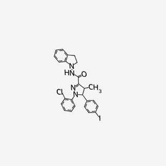 CC1C(C(=O)NN2CCc3ccccc32)=NN(c2ccccc2Cl)C1c1ccc(I)cc1